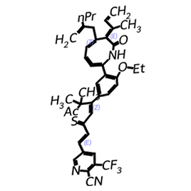 C=C/C(C)=C1C(=O)NC(c2cc(/C(=C/C(=S)/C=C/c3cnc(C#N)c(C(F)(F)F)c3)C(C)(C)C(C)=O)ccc2OCC)=C=C\C=C/1CC(=C)CCC